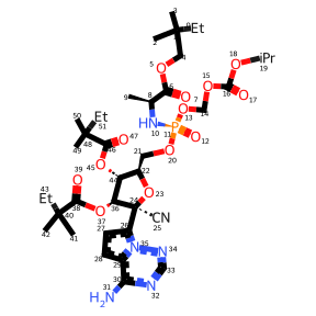 CCC(C)(C)COC(=O)[C@H](C)N[P@](=O)(OCOC(=O)OC(C)C)OC[C@H]1O[C@@](C#N)(c2ccc3c(N)ncnn23)[C@H](OC(=O)C(C)(C)CC)[C@@H]1OC(=O)C(C)(C)CC